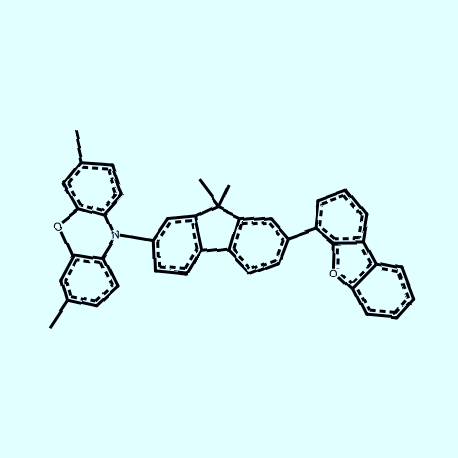 Cc1ccc2c(c1)Oc1cc(C)ccc1N2c1ccc2c(c1)C(C)(C)c1cc(-c3cccc4c3oc3ccccc34)ccc1-2